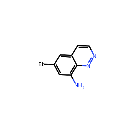 CCc1cc(N)c2nnccc2c1